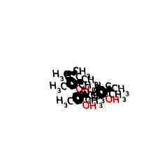 CCCC.Cc1ccc(C(C)(C)C)c(O)c1.Cc1ccc(C(C)(C)C)c(O)c1.Cc1ccc(C(C)(C)C)c(O)c1